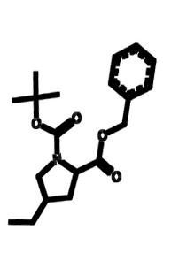 CCC1CC(C(=O)OCc2ccccc2)N(C(=O)OC(C)(C)C)C1